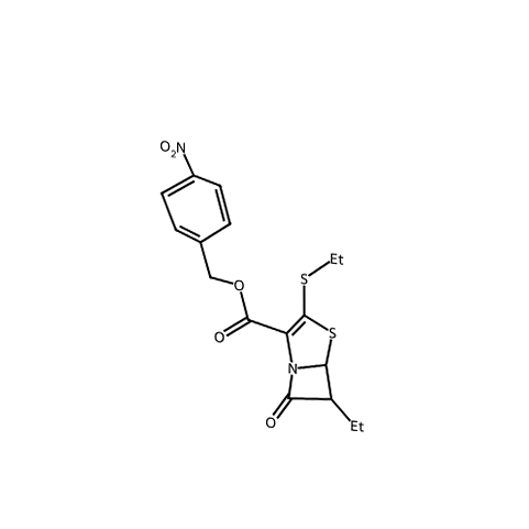 CCSC1=C(C(=O)OCc2ccc([N+](=O)[O-])cc2)N2C(=O)C(CC)C2S1